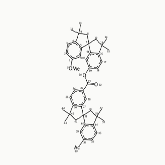 COc1ccc2c(c1)C1(CC2(C)C)CC(C)(C)c2ccc(OC(=O)c3ccc4c(c3)C3(CC(C)(C)c5ccc(C(C)=O)cc53)CC4(C)C)cc21